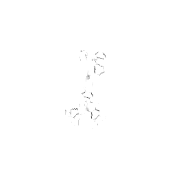 COc1ccc([C@H](Cc2c(Cl)cncc2Cl)OC(=O)c2ccc(COC(=O)c3cccc([C@@H](NC(=O)OC(C)(C)C)c4ccccc4)c3)cc2)cc1OC